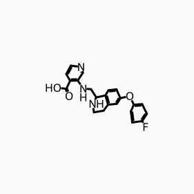 O=C(O)c1ccncc1NCC1NCCc2cc(Oc3ccc(F)cc3)ccc21